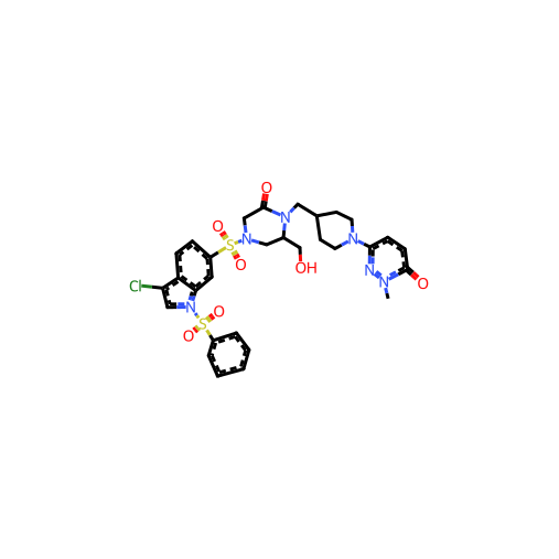 Cn1nc(N2CCC(CN3C(=O)CN(S(=O)(=O)c4ccc5c(Cl)cn(S(=O)(=O)c6ccccc6)c5c4)CC3CO)CC2)ccc1=O